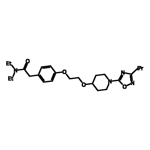 CCN(CC)C(=O)Cc1ccc(OCCOC2CCN(c3nc(C(C)C)no3)CC2)cc1